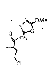 COc1nnc(NC(=O)C(C)CCCl)s1